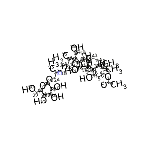 CC(=O)O[C@H]1C[C@H](O)[C@]23C[C@]24C[C@@H](O)[C@]2(C)[C@@H]([C@H](C)CC/C=C(\C)CO[C@@H]5O[C@H](CO)[C@@H](O)[C@H](O)[C@H]5O)[C@@H](O)C[C@@]2(C)[C@@H]4CC[C@H]3C1(C)C